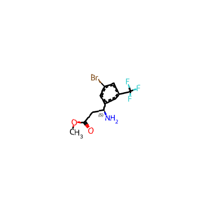 COC(=O)C[C@H](N)c1cc(Br)cc(C(F)(F)F)c1